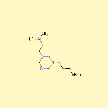 CCCCCCCCCCCCN1CNCN(CCN(C)C)C1